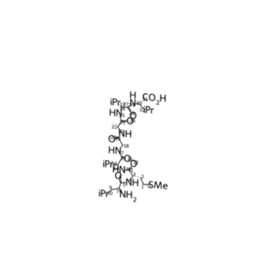 CSCC[C@H](NC(=O)[C@@H](N)CC(C)C)C(=O)N[C@H](C(=O)NCC(=O)NCC(=O)N[C@H](C(=O)N[C@H](C(=O)O)C(C)C)C(C)C)C(C)C